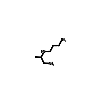 CC(CN)NCCCN